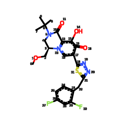 COC[C@H]1CN(C(C)(C)C)C(=O)c2c(O)c(=O)c(-c3nnc(Cc4ccc(F)cc4F)s3)cn21